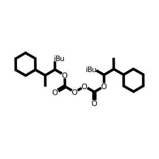 CCC(C)C(OC(=O)OOC(=O)OC(C(C)CC)C(C)C1CCCCC1)C(C)C1CCCCC1